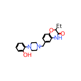 CCC1Oc2ccc(CN3CCN(c4ccccc4O)CC3)cc2NC1=O